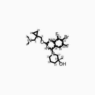 CN(C)CC1(COc2nc(N3CCC[C@@](C)(O)C3)c3cc(F)c(Br)c(F)c3n2)CC1